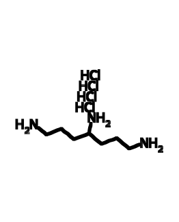 Cl.Cl.Cl.Cl.NCCCC(N)CCCN